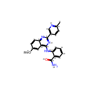 COc1ccc2nc(-c3ccc(C)nc3)nc(Nc3ccccc3C(N)=O)c2c1